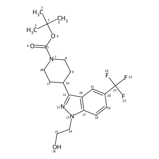 CC(C)(C)OC(=O)N1CCC(c2nn(CCO)c3ccc(C(F)(F)F)cc23)CC1